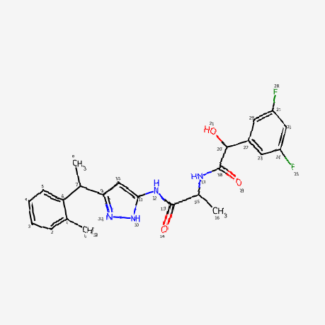 Cc1ccccc1C(C)c1cc(NC(=O)C(C)NC(=O)C(O)c2cc(F)cc(F)c2)[nH]n1